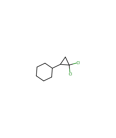 ClC1(Cl)CC1C1CCCCC1